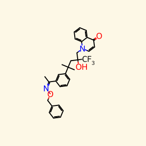 C/C(=N/OCc1ccccc1)c1cccc(C(C)(C)CC(O)(Cn2ccc(=O)c3ccccc32)C(F)(F)F)c1